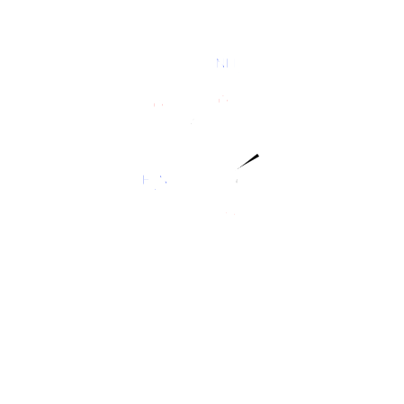 C[C@@H](OCc1ccccc1)[C@H](N)C(=O)ON